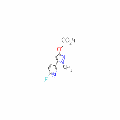 Cn1nc(OCC(=O)O)cc1-c1ccc(F)nc1